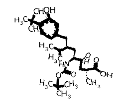 CC(C)[C@@H](Cc1ccc(C(C)(C)C)c(O)c1)C[C@H](NC(=O)OC(C)(C)C)[C@@H](O)C[C@@H](C)C(=O)O